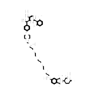 COc1cccc(F)c1-c1ncc(N)c(C(=N)c2ccc(N3CCN(CNCCOCCOCCOCCOCCNc4ccc5c(c4)C(=O)N(C4CCC(=O)NC4=O)C5=O)CC3)cc2)n1